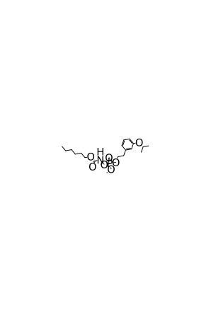 CCCCCCOC(=O)NOP(=O)(OC)OCCc1cccc(OC(C)C)c1